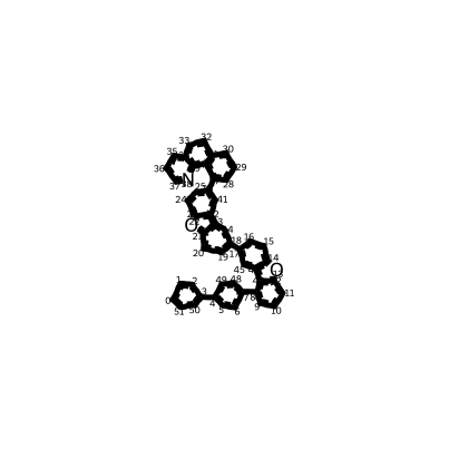 c1ccc(-c2ccc(-c3cccc4oc5ccc(-c6ccc7oc8ccc(-c9cccc%10ccc%11cccnc%11c9%10)cc8c7c6)cc5c34)cc2)cc1